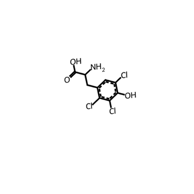 NC(Cc1cc(Cl)c(O)c(Cl)c1Cl)C(=O)O